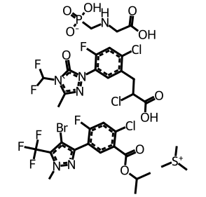 CC(C)OC(=O)c1cc(-c2nn(C)c(C(F)(F)F)c2Br)c(F)cc1Cl.C[S+](C)C.Cc1nn(-c2cc(CC(Cl)C(=O)O)c(Cl)cc2F)c(=O)n1C(F)F.O=C(O)CNCP(=O)([O-])O